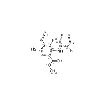 COC(=O)c1cc(S)c(N=N)c(F)c1Nc1ccccc1F